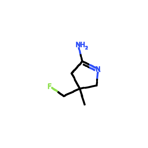 CC1(CF)CN=C(N)C1